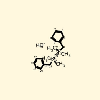 CP(C)(Cc1ccccc1)=[N+]=P(C)(C)Cc1ccccc1.[OH-]